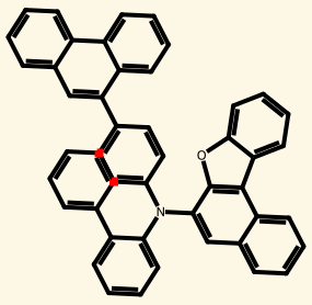 c1ccc(-c2ccccc2N(c2ccc(-c3cc4ccccc4c4ccccc34)cc2)c2cc3ccccc3c3c2oc2ccccc23)cc1